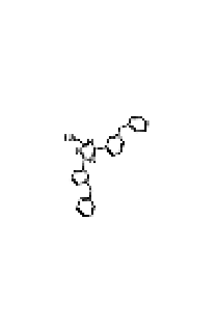 CC(C)(C)c1nc(-c2cccc(Cc3ccccc3)c2)nc(-c2cccc(Cc3ccccc3)c2)n1